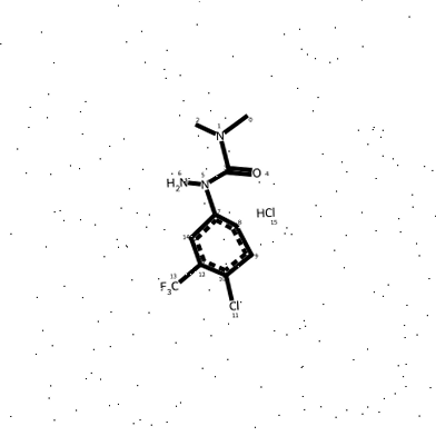 CN(C)C(=O)N(N)c1ccc(Cl)c(C(F)(F)F)c1.Cl